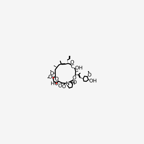 C=CC[C@H]1/C=C(\C)C[C@H](C)C[C@H](OC)[C@H]2O[C@@](O)(C(=O)C(=O)N3CCCC[C@H]3C(=O)O[C@H](/C(C)=C/[C@@H]3CC[C@@H](O)[C@H](OC)C3)[C@H](C)[C@@H](O)CC1=O)[C@H](C)C[C@@H]2OC